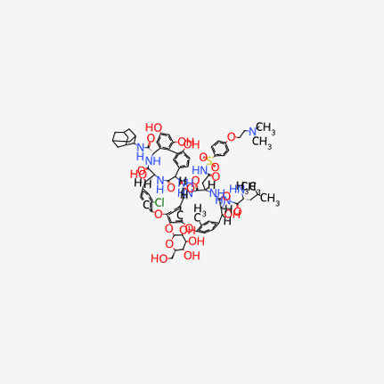 CN[C@H](CC(C)C)C(=O)N[C@H]1C(=O)N[C@@H](CC(=O)NS(=O)(=O)c2ccc(OCCN(C)C)cc2)C(=O)N[C@H]2C(=O)N[C@H]3C(=O)N[C@H](C(=O)N[C@H](C(=O)NC4C5CC6CC(C5)CC4C6)c4cc(O)cc(O)c4-c4cc3ccc4O)[C@H](O)c3ccc(c(Cl)c3)Oc3cc2cc(c3O[C@@H]2O[C@H](CO)[C@@H](O)[C@H](O)[C@H]2O)Oc2ccc(cc2C)[C@H]1O